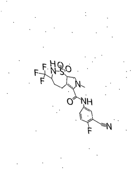 CN1CC2C(=C1C(=O)Nc1ccc(F)c(C#N)c1)CCC(C(F)(F)F)NS2(=O)=O